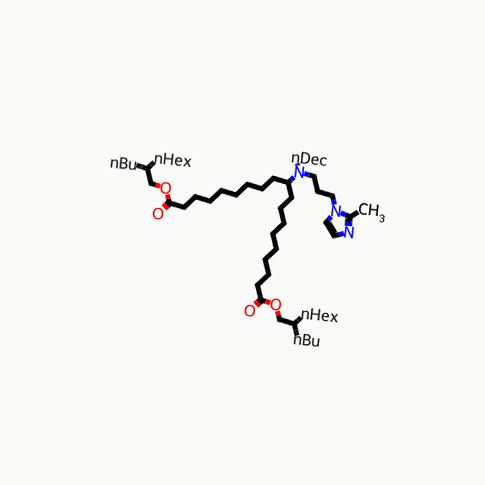 CCCCCCCCCCN(CCCn1ccnc1C)C(CCCCCCCCC(=O)OCC(CCCC)CCCCCC)CCCCCCCCC(=O)OCC(CCCC)CCCCCC